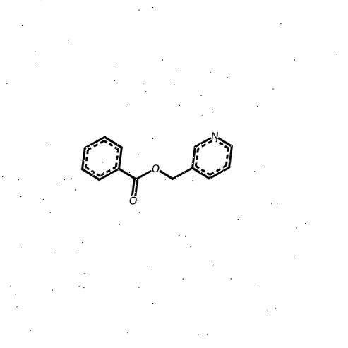 O=C(OCc1cccnc1)c1ccccc1